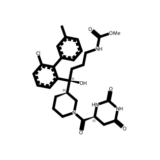 COC(=O)NCCC[C@@](O)(c1cccc(Cl)c1-c1cccc(C)c1)[C@@H]1CCCN(C(=O)[C@@H]2CC(=O)NC(=O)N2)C1